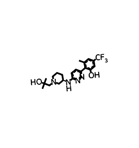 Cc1cc(C(F)(F)F)cc(O)c1-c1ccc(N[C@@H]2CCCN(CC(C)(C)O)C2)nn1